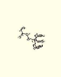 CC(C)COP(=S)(OCC(C)C)SOC(=O)C(C)C